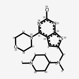 CN1CCC(N(C)Cc2cc3c(N4CCOCC4)nc(Cl)nc3s2)CC1